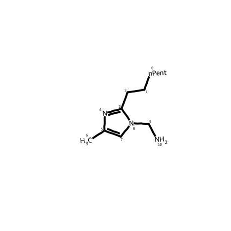 CCCCCCCc1nc(C)cn1CN